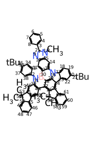 Cn1c(-c2ccccc2)nc2cc3c(cc21)-n1c2ccc(C(C)(C)C)cc2c2c4c(c5c(c21)B3N(c1ccc(C(C)(C)C)cc1)c1cc2c(cc1-5)-c1ccccc1C2(C)C)C(C)(C)c1ccccc1-4